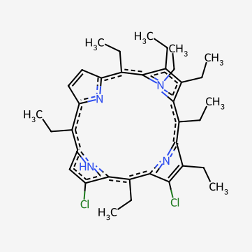 CCC1=C(Cl)c2nc1c(CC)c1c(CC)c(CC)c(c(CC)c3nc(c(CC)c4cc(Cl)c([nH]4)c2CC)C=C3)n1CC